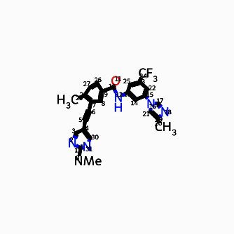 CNc1ncc(C#Cc2cc(C(=O)Nc3cc(-n4cnc(C)c4)cc(C(F)(F)F)c3)ccc2C)cn1